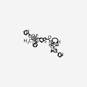 C[C@H](NP(=O)(Oc1ccccc1)[C@@H](F)c1ccc2sc(C(=O)N[C@H]3CCCC[C@H]4CC[C@@H](C(=O)N5C[C@@H](c6cccnc6)CC56CC6)N4C3=O)cc2c1)C(=O)OCc1ccccn1